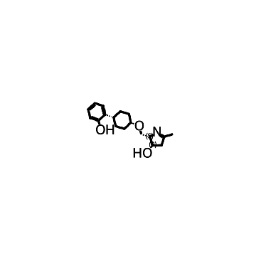 CC1=N[C@@H](CO[C@H]2CC[C@@H](c3ccccc3O)CC2)[C@H](O)C1